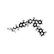 CN(C)CCC(=O)Nc1ccc2c(=O)n(CC3(O)CCN(C(=O)C(Cc4ccccc4)c4cccc(NC(=O)c5ccc6c(Cl)ccnc6c5)c4)CC3)cnc2c1